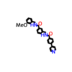 COc1cccc(CNC(=O)c2cccc(CNC(=O)c3ccc(-c4ccncc4)cc3)c2)c1